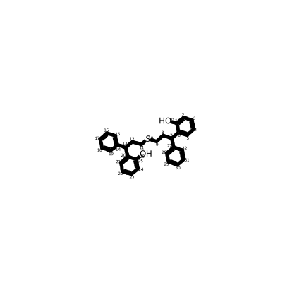 Oc1ccccc1C(CCSCCC(c1ccccc1)c1ccccc1O)c1ccccc1